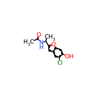 CC(=O)NC(C)c1cc2cc(Cl)c(O)cc2o1